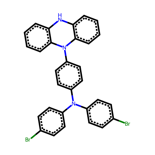 Brc1ccc(N(c2ccc(Br)cc2)c2ccc(N3c4ccccc4Nc4ccccc43)cc2)cc1